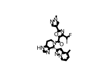 Cc1cccn2nc([C@@H]3c4nc[nH]c4CCN3C(=O)c3oc(-c4cnn(C)c4)nc3C(F)I)cc12